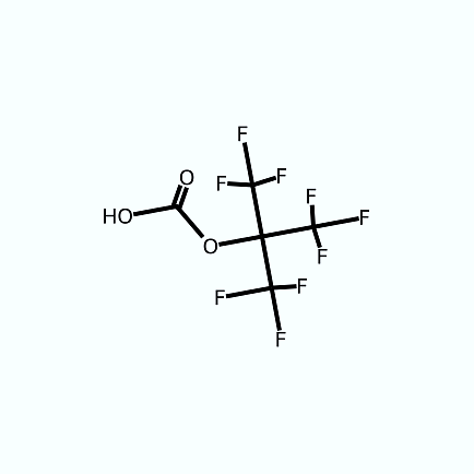 O=C(O)OC(C(F)(F)F)(C(F)(F)F)C(F)(F)F